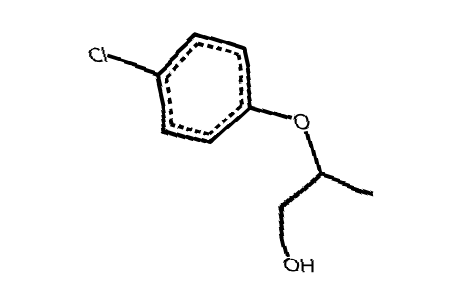 CC(CO)Oc1ccc(Cl)cc1